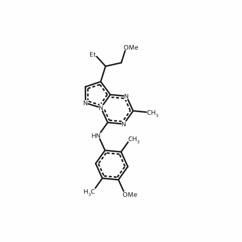 CCC(COC)c1cnn2c(Nc3cc(C)c(OC)cc3C)nc(C)nc12